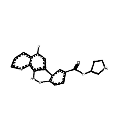 O=C(OC1CCNC1)c1ccc2c(c1)-c1cc(Cl)c3cccnc3c1NS2